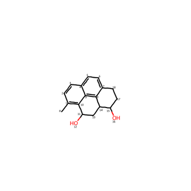 Cc1ccc2ccc3c4c2c1C(O)CC4C(O)CC3